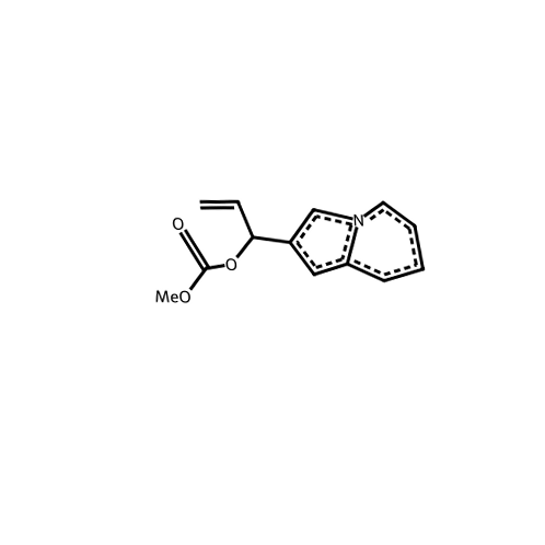 C=CC(OC(=O)OC)c1cc2ccccn2c1